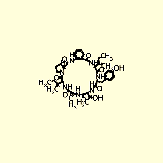 CC[C@H](C)[C@@H]1NC(=O)c2ccccc2NC(=O)[C@@H]2CCCN2C(=O)[C@H]([C@@H](C)CC)NC(=O)[C@H](C)NC(=O)[C@H]([C@@H](C)O)NC(=O)[C@H](Cc2ccc(O)cc2)NC1=O